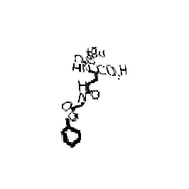 CC(C)(C)OC(=O)NC(CCC(=O)NCC(=O)OCc1ccccc1)C(=O)O